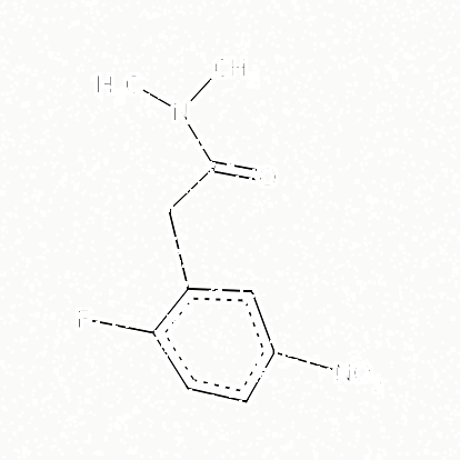 CN(C)C(=O)Cc1cc([N+](=O)[O-])ccc1F